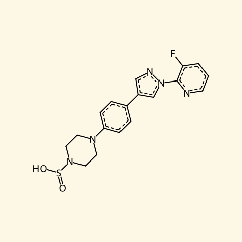 O=S(O)N1CCN(c2ccc(-c3cnn(-c4ncccc4F)c3)cc2)CC1